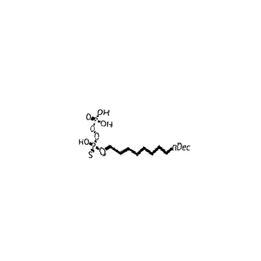 CCCCCCCCCCCCCCCCCCOP(O)(=S)OOP(=O)(O)O